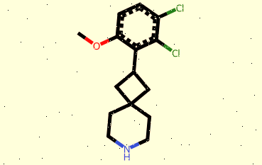 COc1ccc(Cl)c(Cl)c1C1CC2(CCNCC2)C1